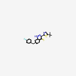 CC(C)(C)c1cnc(-c2n[nH]c3cc(Cc4ccc(F)cc4)ccc3c2=S)s1